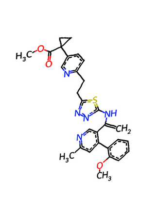 C=C(Nc1nnc(CCc2ccc(C3(C(=O)OC)CC3)cn2)s1)c1cnc(C)cc1-c1ccccc1OC